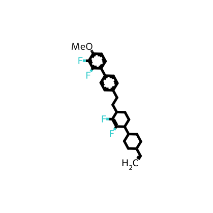 C=CC1CCC(C2CCC(CCc3ccc(-c4ccc(OC)c(F)c4F)cc3)C(F)=C2F)CC1